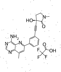 Cc1cc(-c2cccc(C#C[C@]3(O)CCN(C)C3=O)c2)nc2c(N)ncnc12.O=C(O)C(F)(F)F